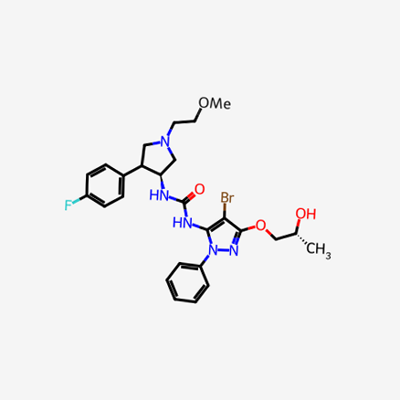 COCCN1CC(c2ccc(F)cc2)[C@H](NC(=O)Nc2c(Br)c(OC[C@@H](C)O)nn2-c2ccccc2)C1